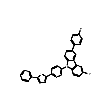 Clc1ccc(-c2ccc3c(c2)c2cc(Br)ccc2n3-c2ccc(-c3ccc(-c4ccccc4)s3)cc2)cc1